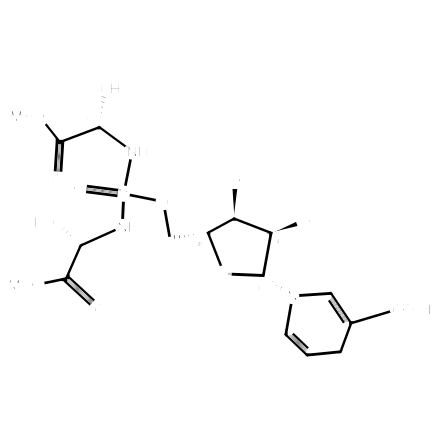 COC(=O)[C@H](C)NP(=O)(N[C@@H](C)C(=O)OC)OC[C@H]1O[C@@H](N2C=CCC(C(=O)O)=C2)[C@H](O)[C@@H]1O